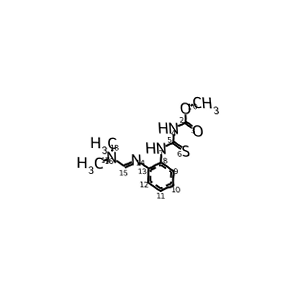 COC(=O)NC(=S)Nc1ccccc1N=CN(C)C